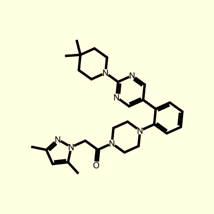 Cc1cc(C)n(CC(=O)N2CCN(c3ccccc3-c3cnc(N4CCC(C)(C)CC4)nc3)CC2)n1